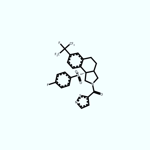 O=C(c1ccns1)N1CC2CCc3cc(C(F)(C(F)(F)F)C(F)(F)F)ccc3[C@]2(S(=O)(=O)c2ccc(F)cc2)C1